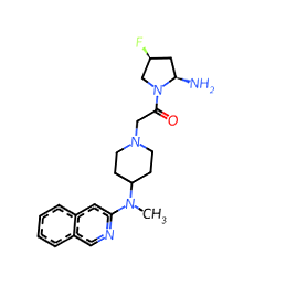 CN(c1cc2ccccc2cn1)C1CCN(CC(=O)N2C[C@@H](F)C[C@H]2N)CC1